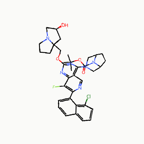 CC(C)(C)OC(=O)N1C2CCC1CN(c1nc(OCC34CCCN3C[C@@H](O)C4)nc3c(F)c(-c4cccc5cccc(Cl)c45)ncc13)C2